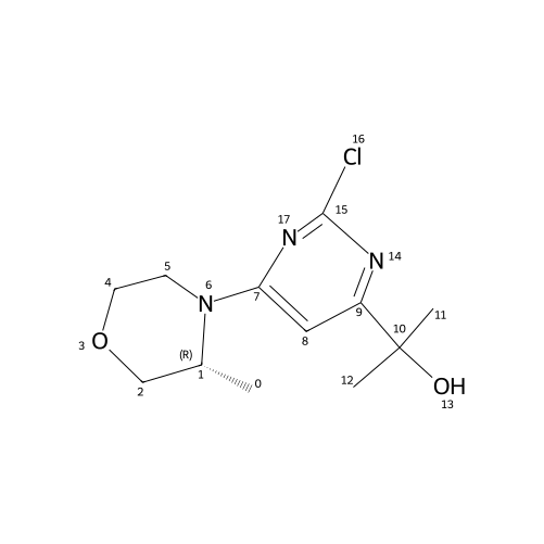 C[C@@H]1COCCN1c1cc(C(C)(C)O)nc(Cl)n1